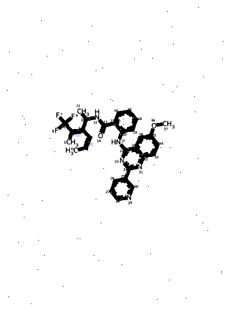 C/C=C\C(=C(/C)C(F)(F)F)C(C)NC(=O)c1ccccc1Nc1nc(-c2cccnc2)nc2ccc(OC)cc12